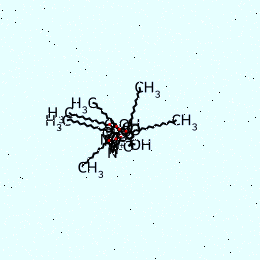 CCCCCCCCCCCCOc1cc(C(=O)O)c(CC(CN=[N+]=[N-])(CN=[N+]=[N-])[14CH2]c2c(C(=O)O)cc(OCCCCCCCCCCCC)c(OCCCCCCCCCCCC)c2OCCCCCCCCCCCC)c(OCCCCCCCCCCCC)c1OCCCCCCCCCCCC